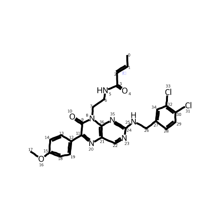 C/C=C/C(=O)NCCn1c(=O)c(-c2ccc(OC)cc2)nc2cnc(NCc3ccc(Cl)c(Cl)c3)nc21